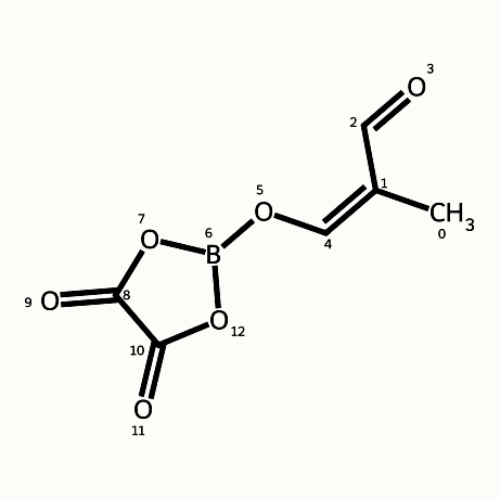 CC(C=O)=COB1OC(=O)C(=O)O1